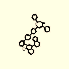 C=C1CC(c2ccccc2)N=C(c2ccc(C3=CC=C(c4cccc5oc6c7ccccc7c(C7CC=Cc8ccccc87)cc6c45)CC3)cc2)C=C1C1=CCCC=C1